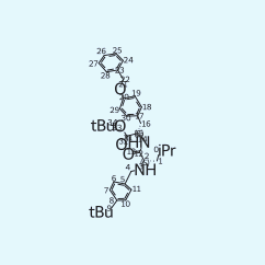 CC(C)C[C@H](NCc1ccc(C(C)(C)C)cc1)C(=O)N[C@@H](Cc1ccc(OCc2ccccc2)cc1)C(=O)OC(C)(C)C